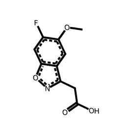 COc1cc2c(CC(=O)O)noc2cc1F